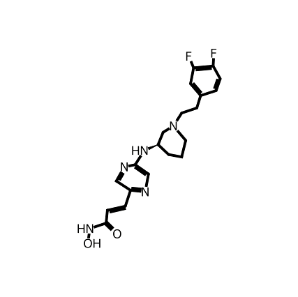 O=C(C=Cc1cnc(N[C@@H]2CCCN(CCc3ccc(F)c(F)c3)C2)cn1)NO